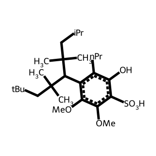 CCCc1c(O)c(S(=O)(=O)O)c(OC)c(OC)c1C(C(C)(C)CC(C)C)C(C)(C)CC(C)(C)C